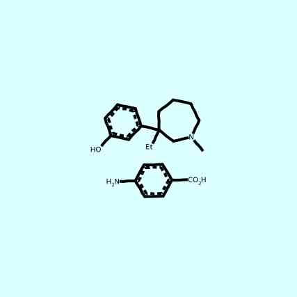 CCC1(c2cccc(O)c2)CCCCN(C)C1.Nc1ccc(C(=O)O)cc1